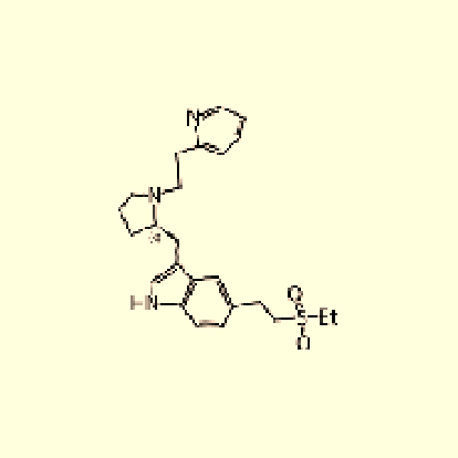 CCS(=O)(=O)CCc1ccc2[nH]cc(C[C@H]3CCCN3CCc3ccccn3)c2c1